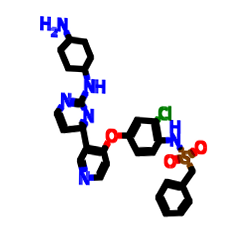 NC1CCC(Nc2nccc(-c3cnccc3Oc3ccc(NS(=O)(=O)Cc4ccccc4)c(Cl)c3)n2)CC1